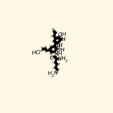 Cl.[2H]c1c(C2=CC(CC=C)=CC(NC(=O)C(N)CCCCN)C2([2H])O)cc(CC=C)c(O)c1[2H]